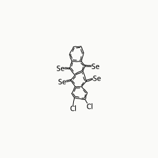 Clc1cc2c(=[Se])c3c(=[Se])c4ccccc4c(=[Se])c=3c(=[Se])c2cc1Cl